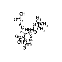 CC(=O)CCOCC1=C(C(=O)O)N2C(=O)CC2SC1NC(=O)OC(C)(C)C